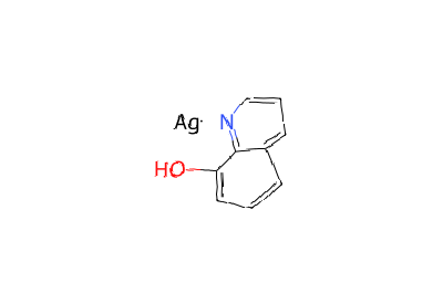 Oc1cccc2cccnc12.[Ag]